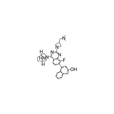 CN(C)CC1CN(c2nc(N3C[C@H]4CC[C@@H](C3)N4)c3ccc(-c4cc(O)cc5ccccc45)c(F)c3n2)C1